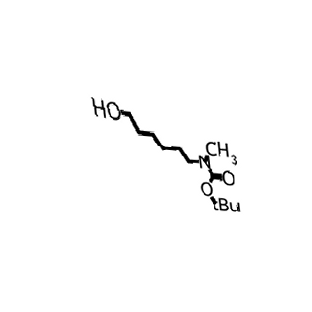 CN(CCCCCCO)C(=O)OC(C)(C)C